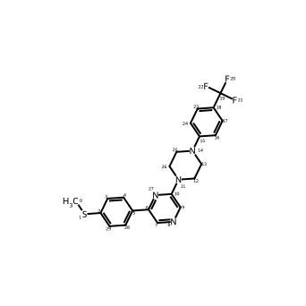 CSc1ccc(-c2cncc(N3CCN(c4ccc(C(F)(F)F)cc4)CC3)n2)cc1